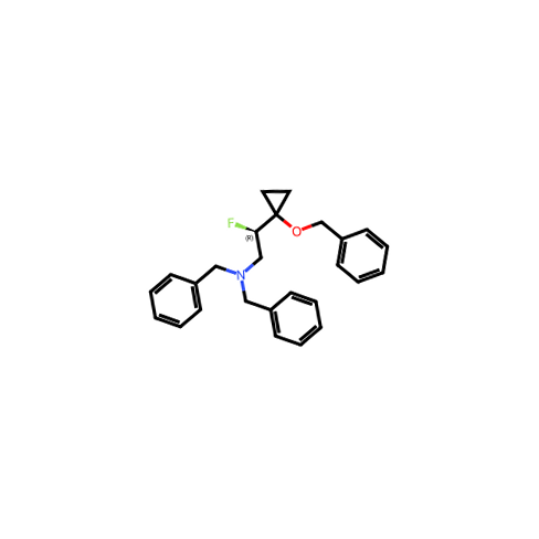 F[C@H](CN(Cc1ccccc1)Cc1ccccc1)C1(OCc2ccccc2)CC1